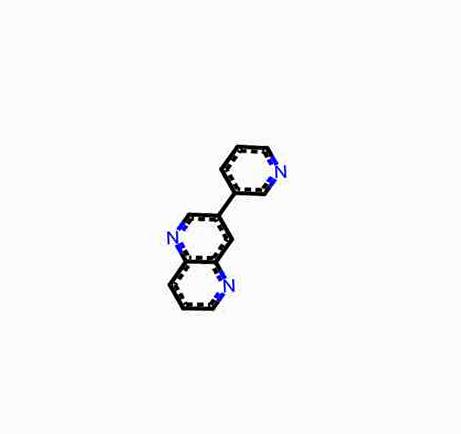 c1cncc(-c2cnc3cccnc3c2)c1